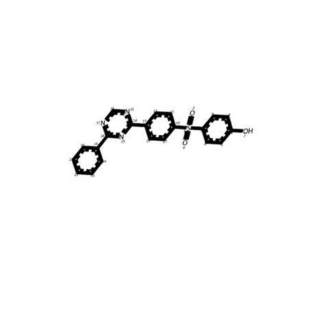 O=S(=O)(c1ccc(O)cc1)c1ccc(-c2ncnc(-c3ccccc3)n2)cc1